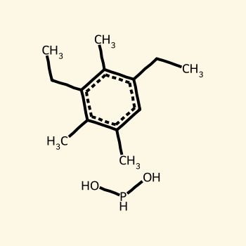 CCc1cc(C)c(C)c(CC)c1C.OPO